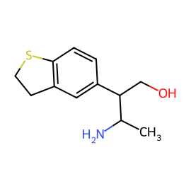 CC(N)C(CO)c1ccc2c(c1)CCS2